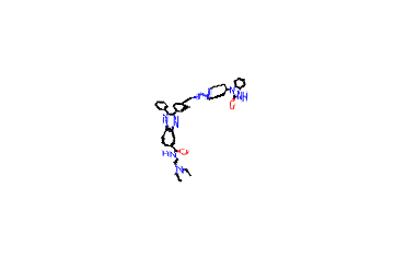 CCN(CC)CCNC(=O)c1ccc2nc(-c3ccccc3)c(-c3ccc(CN4CCC(n5c(=O)[nH]c6ccccc65)CC4)cc3)nc2c1